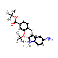 [2H]C([2H])([2H])OC(=O)c1ccc(Cc2cn(C)c3ccc(N)cc23)c(OC([2H])([2H])[2H])c1